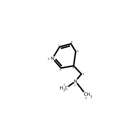 CN(C)CC1C=NC=CC1